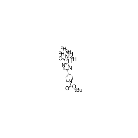 [2H]C([2H])([2H])N(C(=O)c1cnc(C2=CCN(C(=O)OC(C)(C)C)CC2)cn1)C([2H])([2H])[2H]